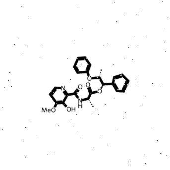 COc1ccnc(C(=O)N[C@@H](C)C(=O)O[C@H](c2ccccc2)[C@@H](C)Oc2ccccc2)c1O